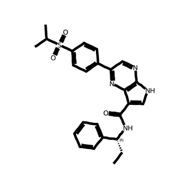 CC[C@@H](NC(=O)c1c[nH]c2ncc(-c3ccc(S(=O)(=O)C(C)C)cc3)nc12)c1ccccc1